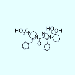 O=C(O)N1CCN(C(=O)c2ncn(C3CCCCC3(O)CO)c2-c2ccccc2)[C@H](Cc2ccccc2)C1